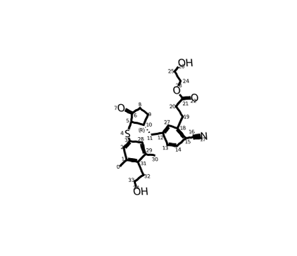 Cc1cc(SC2C(=O)CC[C@@H]2Cc2ccc(C#N)c(CCC(=O)OCCO)c2)cc(C)c1CCO